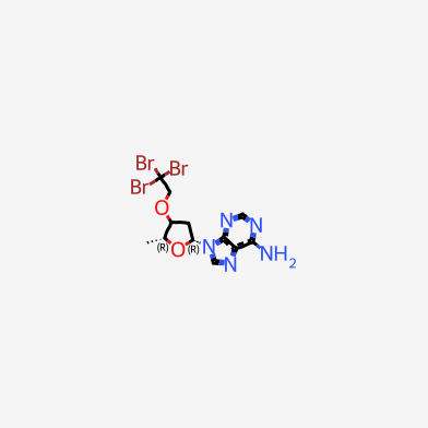 C[C@H]1O[C@@H](n2cnc3c(N)ncnc32)CC1OCC(Br)(Br)Br